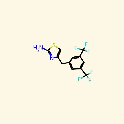 Nc1nc(Cc2cc(C(F)(F)F)cc(C(F)(F)F)c2)cs1